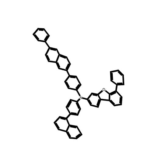 c1ccc(-c2ccc3cc(-c4ccc(N(c5ccc(-c6cccc7ccccc67)cc5)c5ccc6c(c5)oc5c(-c7ccccc7)cccc56)cc4)ccc3c2)cc1